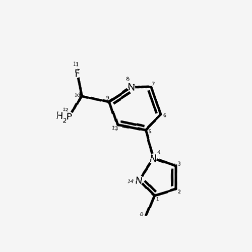 Cc1ccn(-c2ccnc(C(F)P)c2)n1